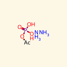 CC(=O)OP(=O)(O)O.N.N